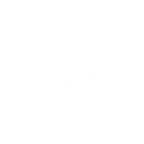 CCOC(=O)C1C(Sc2ccc(F)cc2)C1(F)Br